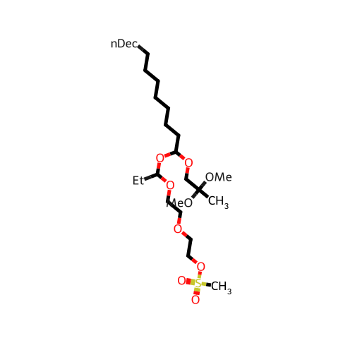 CCCCCCCCCCCCCCCCCC(OCC(C)(OC)OC)OC(CC)OCCOCCOS(C)(=O)=O